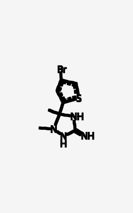 CN1NC(=N)NC1(C)c1cc(Br)cs1